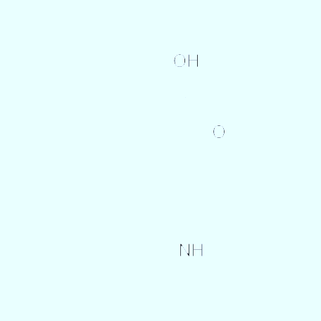 O=C(O)CC1=CNCC=C1